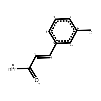 CCCC(=O)/C=C/c1cccc(C)c1